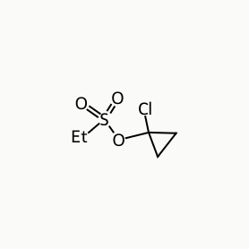 CCS(=O)(=O)OC1(Cl)CC1